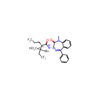 CN1C(=O)[C@@H](NC(=O)[C@H](CCC(F)(F)F)[C@](CC(F)(F)F)(C(=O)O)C(C)(C)C)N=C(c2ccccc2)c2ccccc21